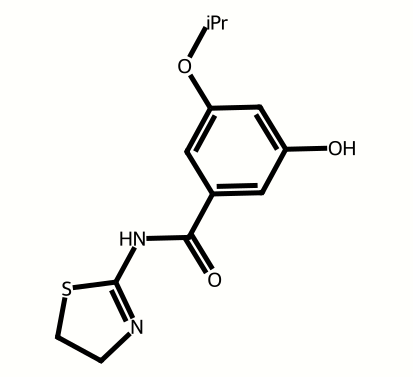 CC(C)Oc1cc(O)cc(C(=O)NC2=NCCS2)c1